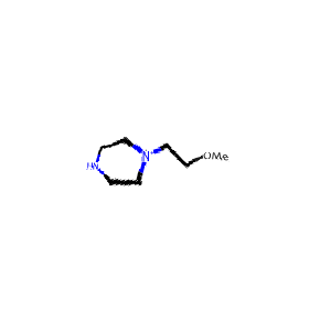 COCC[N+]1CCNCC1